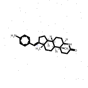 C[C@]12CCC(=O)N[C@@H]1CC[C@@H]1[C@@H]2CC[C@]2(C)/C(=C/c3ccc(N)cc3)CC[C@@H]12